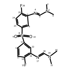 CN(C)C=Nc1cc(S(=O)(=O)c2ccc(F)c(N=CN(C)C)c2)ccc1F